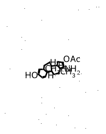 CC(=O)OC1=C(N)[C@@]2(C)CC[C@H]3[C@@H](CCC4C=C(O)C=C[C@@]43C)[C@@H]2C1